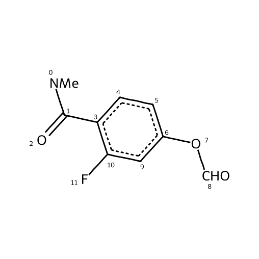 CNC(=O)c1ccc(OC=O)cc1F